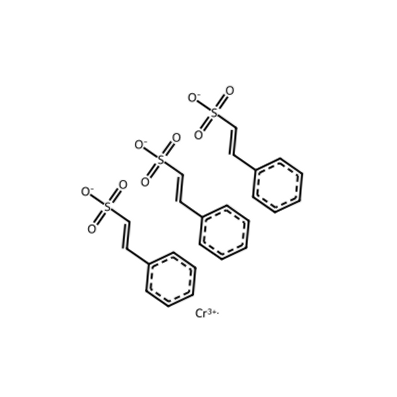 O=S(=O)([O-])C=Cc1ccccc1.O=S(=O)([O-])C=Cc1ccccc1.O=S(=O)([O-])C=Cc1ccccc1.[Cr+3]